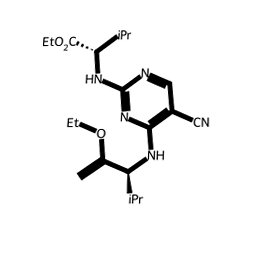 C=C(OCC)[C@@H](Nc1nc(N[C@H](C(=O)OCC)C(C)C)ncc1C#N)C(C)C